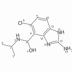 CC(C)NC(O)c1c(Cl)ccc2[nH]c(N)nc12